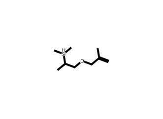 C=C(C)COCC(C)[SiH](C)C